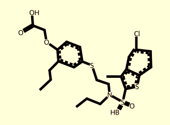 B=S(=O)(c1sc2ccc(Cl)cc2c1C)N(CCC)CCSc1ccc(OCC(=O)O)c(CCC)c1